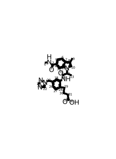 CNC(=O)c1ccc2c(C)cn(C(C)C(=O)Nc3cc(Cn4cncn4)ccc3CCCC(=O)O)c2c1